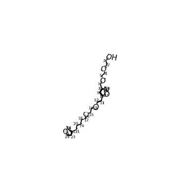 OCCOCCOCc1cc(CCOCCOCCCCCc2ccon2)on1